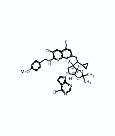 COc1ccc(CNc2nc3cc(CC(C4CC4)[C@@]4(C)C[C@@H](n5ccc6c(Cl)ncnc65)[C@@H]5OC(C)(C)O[C@@H]54)cc(F)c3cc2Cl)cc1